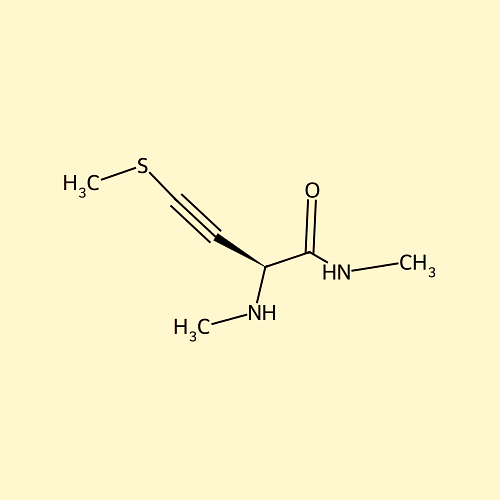 CNC(=O)[C@H](C#CSC)NC